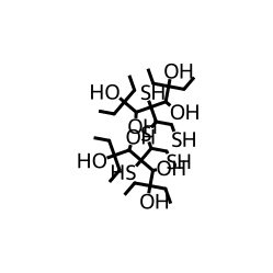 CCC(O)(CC)C(O)C(S)(C(CS)SC(CS)C(S)(C(O)C(O)(CC)CC)C(O)C(O)(CC)CC)C(O)C(O)(CC)CC